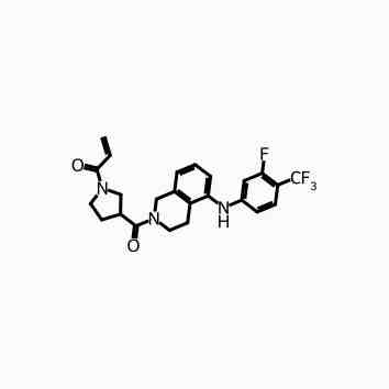 C=CC(=O)N1CCC(C(=O)N2CCc3c(cccc3Nc3ccc(C(F)(F)F)c(F)c3)C2)C1